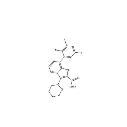 COC(=O)c1oc2c(-c3cc(F)cc(F)c3F)cccc2c1C1CCCCO1